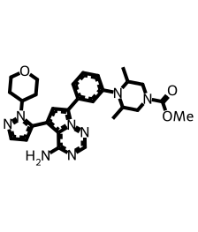 COC(=O)N1CC(C)N(c2cccc(-c3cc(-c4ccnn4C4CCOCC4)c4c(N)ncnn34)c2)C(C)C1